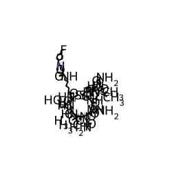 CCC(C)[C@@H]1NC(=O)[C@H](Cc2ccc(O)cc2)NC(=O)[C@@H](NC(=O)CCCCCNC(=O)CO/N=C/c2ccc(CF)cc2)CSSC[C@@H](C(=O)N2CCC[C@H]2C(=O)N[C@@H](CC(C)C)C(=O)NCC(N)=O)NC(=O)[C@H](CC(N)=O)NC(=O)[C@H](CCC(N)=O)NC1=O